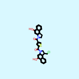 O=C(c1csc(C(=O)N2CC(CCl)c3c2cc(O)c2ccccc32)c1)N1CCc2c1cc(O)c1ccccc21